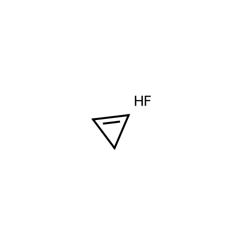 C1=CC1.F